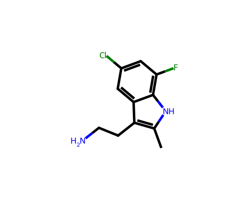 Cc1[nH]c2c(F)cc(Cl)cc2c1CCN